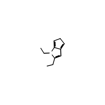 CCc1cc2c(n1CC)=CCC=2